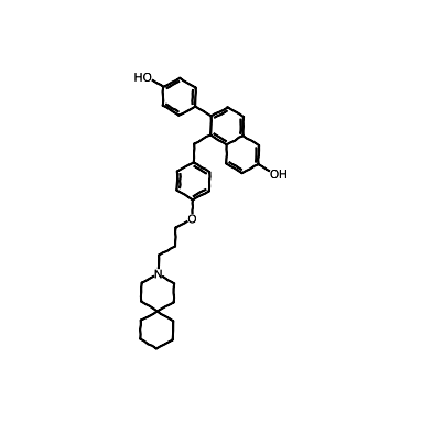 Oc1ccc(-c2ccc3cc(O)ccc3c2Cc2ccc(OCCCN3CCC4(CCCCC4)CC3)cc2)cc1